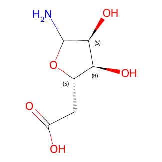 NC1O[C@@H](CC(=O)O)[C@H](O)[C@@H]1O